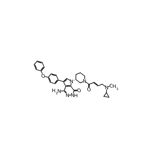 CN(CC=CC(=O)N1CCC[C@@H](n2cc(-c3ccc(Oc4ccccc4)cc3)c3c(N)n[nH]c(=O)c32)C1)C1CC1